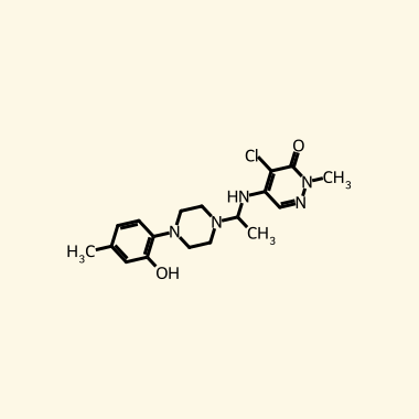 Cc1ccc(N2CCN(C(C)Nc3cnn(C)c(=O)c3Cl)CC2)c(O)c1